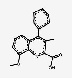 COc1cccc2c(-c3ccccc3)c(C)c(C(=O)O)nc12